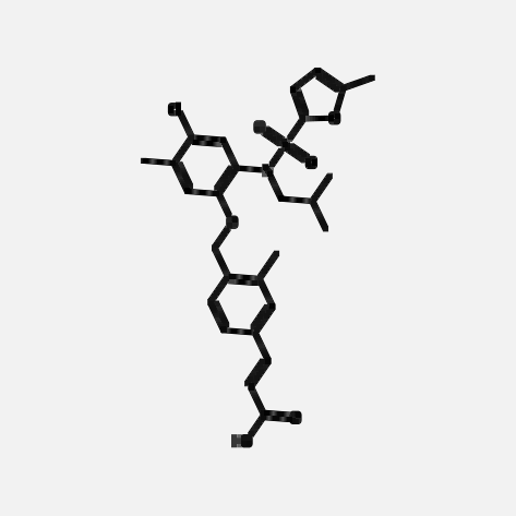 Cc1ccc(S(=O)(=O)N(CC(C)C)c2cc(Cl)c(C)cc2OCc2ccc(/C=C/C(=O)O)cc2C)o1